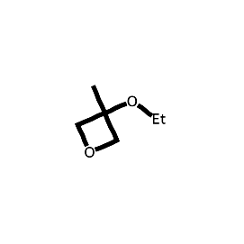 CCOC1(C)COC1